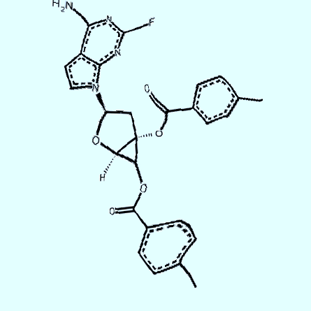 Cc1ccc(C(=O)OC2[C@H]3O[C@@H](n4ccc5c(N)nc(F)nc54)C[C@@]23OC(=O)c2ccc(C)cc2)cc1